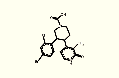 Cc1c(C2CCN(C(=O)O)CC2c2ccc(Br)cc2Cl)cc[nH]c1=O